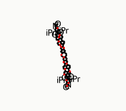 CC(C)c1cc(N=C=O)cc(C(C)C)c1N1C(=O)c2ccc3c4c(ccc(c24)C1=O)C1=CC=C2c4cc5cc6c(cc5cc4C4=CC=C3C1C42)CCc1cc2cc3c(cc2cc1CC6)-c1ccc2c4ccc5c6c(ccc(c7ccc-3c1c72)c64)C(=O)N(c1c(C(C)C)cc(N=C=O)cc1C(C)C)C5=O